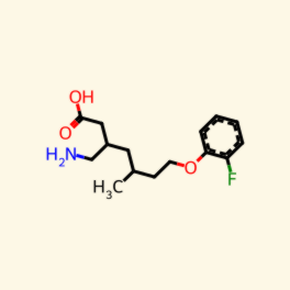 CC(CCOc1ccccc1F)CC(CN)CC(=O)O